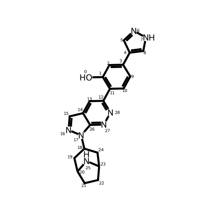 Oc1cc(-c2cn[nH]c2)ccc1-c1cc2cnn(C3CC4CCC(C3)N4)c2nn1